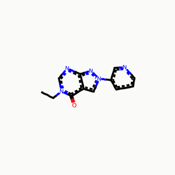 CCn1cnc2nn(-c3cccnc3)cc2c1=O